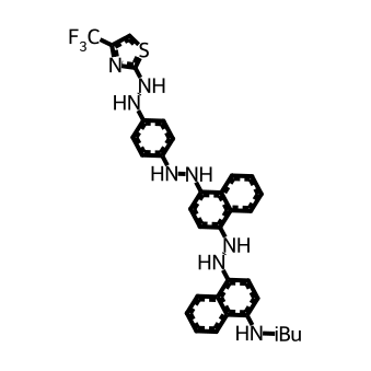 CCC(C)Nc1ccc(NNc2ccc(NNc3ccc(NNc4nc(C(F)(F)F)cs4)cc3)c3ccccc23)c2ccccc12